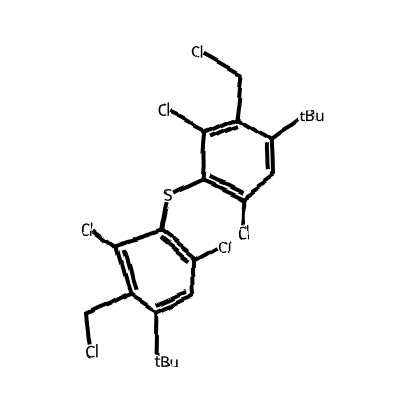 CC(C)(C)c1cc(Cl)c(Sc2c(Cl)cc(C(C)(C)C)c(CCl)c2Cl)c(Cl)c1CCl